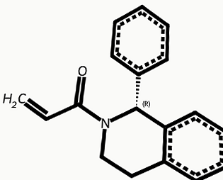 C=CC(=O)N1CCc2ccccc2[C@H]1c1ccccc1